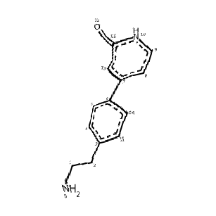 NCCc1ccc(-c2cc[nH]c(=O)c2)cc1